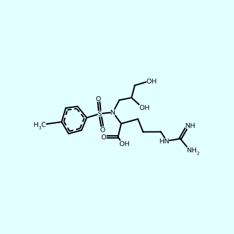 Cc1ccc(S(=O)(=O)N(CC(O)CO)C(CCCNC(=N)N)C(=O)O)cc1